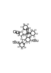 CC(C)(C)c1cc2c([c]([Hf+2]([C]3=CC=CC3)[SiH](c3ccccc3)c3ccccc3)c1)Cc1c-2cccc1C(C)(C)C.[Cl-].[Cl-]